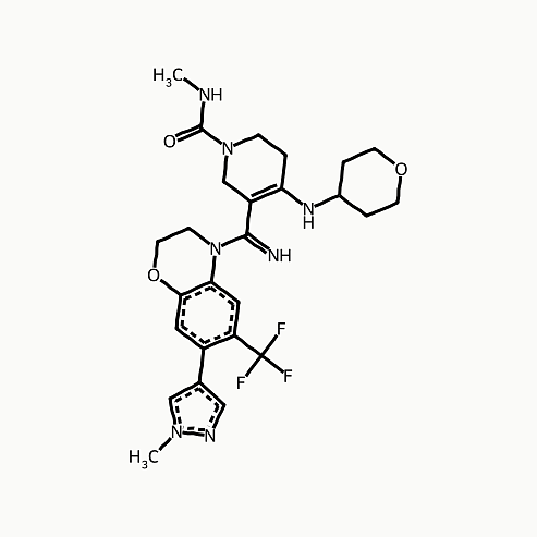 CNC(=O)N1CCC(NC2CCOCC2)=C(C(=N)N2CCOc3cc(-c4cnn(C)c4)c(C(F)(F)F)cc32)C1